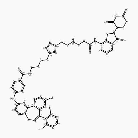 O=C1CCC(N2Cc3c(NC(=O)CCNCCn4cc(COCCNC(=O)c5ccc(Nc6ncc7c(n6)-c6ccc(Cl)cc6C(c6c(F)cccc6F)=NC7)cc5)nn4)cccc3C2=O)C(=O)N1